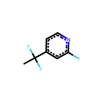 CC(F)(F)c1ccnc(F)c1